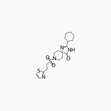 O=C1NC(C2CCCCC2)=NC12CCN(S(=O)(=O)CCc1nccs1)CC2